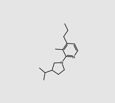 CCCc1ccnc(N2CCC(C(C)C)C2)c1C